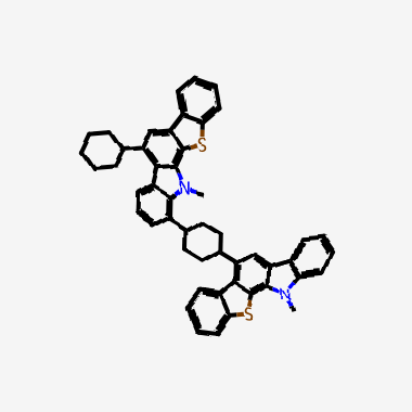 Cn1c2ccccc2c2cc(C3CCC(c4cccc5c6c(C7CCCCC7)cc7c8ccccc8sc7c6n(C)c45)CC3)c3c4ccccc4sc3c21